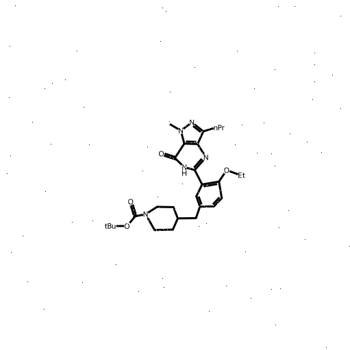 CCCc1nn(C)c2c(=O)[nH]c(-c3cc(CC4CCN(C(=O)OC(C)(C)C)CC4)ccc3OCC)nc12